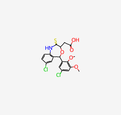 COc1cc(Cl)cc(C2OC(CC(=O)O)C(=S)Nc3ccc(Cl)cc32)c1OC